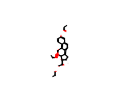 CCC(=O)OCC(=O)[C@]1(OC(=O)CC)[C@H](C)C[C@H]2c3ccc4cc(OC(=O)CC)ccc4c3C(=O)C[C@@]21C